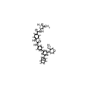 C[C@H]1COCCN1c1nc(-c2ccc(NC(=O)Nc3ccc(C(=O)NCCN(C)C)cc3)cc2)nc(N2CC3CCC(C2)O3)n1